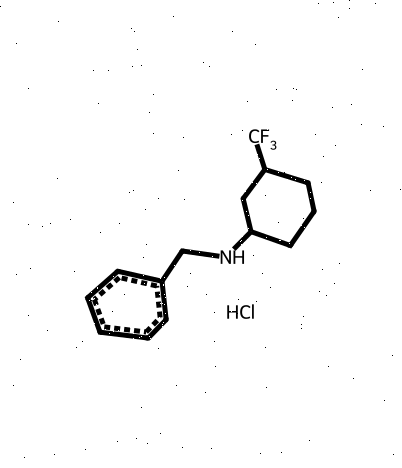 Cl.FC(F)(F)C1CCCC(NCc2ccccc2)C1